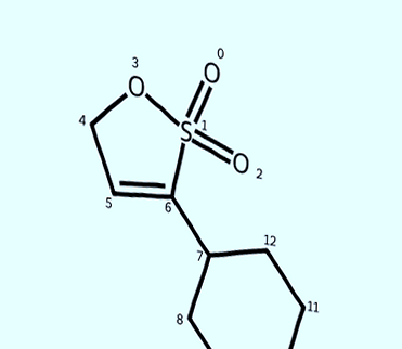 O=S1(=O)OCC=C1C1CCCCC1